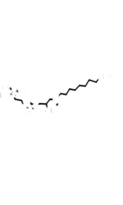 CCCCCCCCCCCCCCCCCC[S+]([O-])CC(O)COP(=O)(O)OCC[N+](C)(C)C